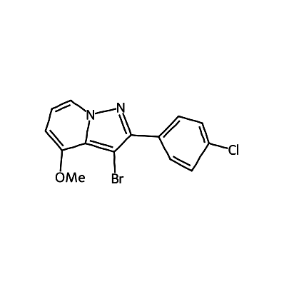 COc1cccn2nc(-c3ccc(Cl)cc3)c(Br)c12